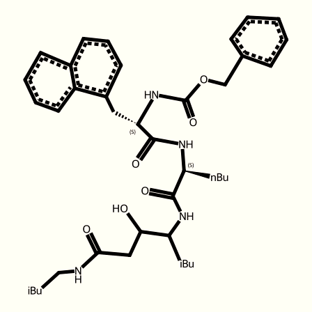 CCCC[C@H](NC(=O)[C@H](Cc1cccc2ccccc12)NC(=O)OCc1ccccc1)C(=O)NC(C(C)CC)C(O)CC(=O)NCC(C)CC